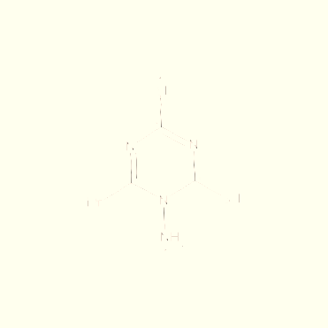 CC(C)C1=NC(S)=NC(S)N1N